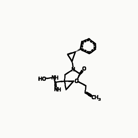 C=CCOC(=O)N(CC1(C(=N)NO)CC1)C1C[C@@H]1c1ccccc1